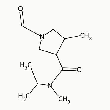 CC1CN(C=O)CC1C(=O)N(C)C(C)C